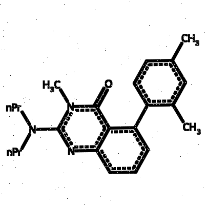 CCCN(CCC)c1nc2cccc(-c3ccc(C)cc3C)c2c(=O)n1C